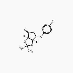 CC1(C)O[C@@H]2[C@@H](Sc3ccc(Cl)cc3)CC(=O)[C@@H]2O1